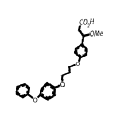 COC(CC(=O)O)c1ccc(OCCCOc2ccc(Oc3ccccc3)cc2)cc1